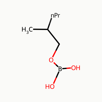 CCCC(C)COB(O)O